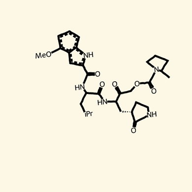 COc1cccc2[nH]c(C(=O)NC(CC(C)C)C(=O)NC(C[C@@H]3CCNC3=O)C(=O)COC(=O)N3CCCC3C)cc12